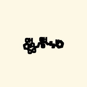 O=C(CCP(=O)(O)CCSSc1ccccn1)ON1C(=O)CCC1O